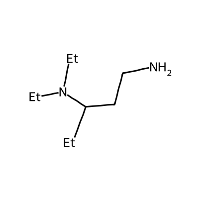 CCC(CCN)N(CC)CC